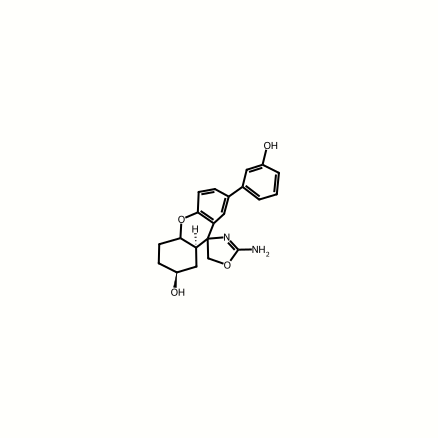 NC1=NC2(CO1)c1cc(-c3cccc(O)c3)ccc1OC1CC[C@H](O)C[C@@H]12